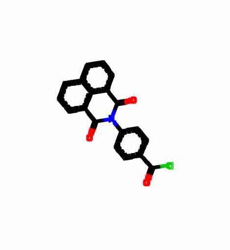 O=C(Cl)c1ccc(N2C(=O)c3cccc4cccc(c34)C2=O)cc1